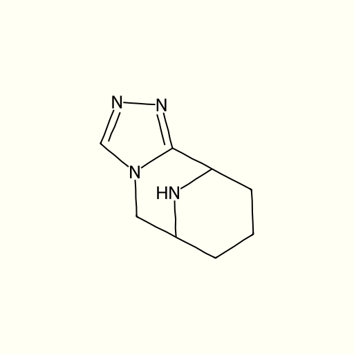 c1nnc2n1CC1CCCC2N1